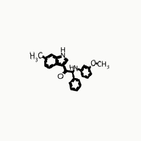 COc1cccc(NC(C(=O)c2c[nH]c3cc(C)ccc23)c2ccccc2)c1